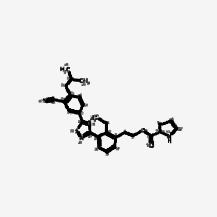 CCc1c(CCOC(=O)[C@H]2CCCN2)cccc1-c1nsc(-c2ccc(CC(C)C)c(C#N)c2)n1